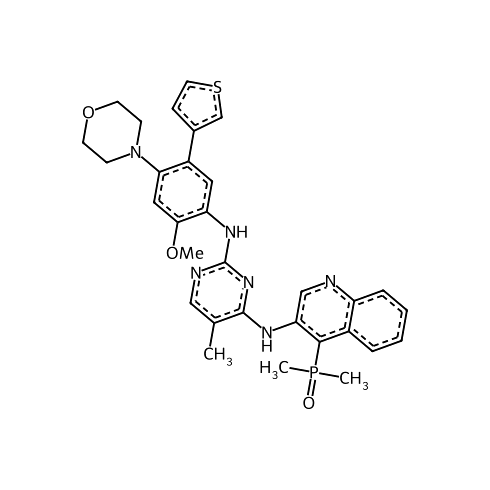 COc1cc(N2CCOCC2)c(-c2ccsc2)cc1Nc1ncc(C)c(Nc2cnc3ccccc3c2P(C)(C)=O)n1